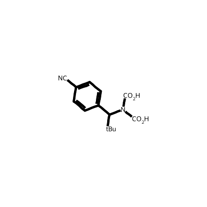 CC(C)(C)C(c1ccc(C#N)cc1)N(C(=O)O)C(=O)O